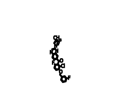 Cc1cn(-c2cnc3ccc(C(=O)c4c(F)ccc(OCc5cccc(F)c5)c4Cl)cc3n2)cn1